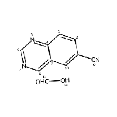 N#Cc1ccc2ncncc2c1.O=CO